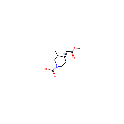 COC(=O)/C=C1\CCN(C(=O)O)CC1C